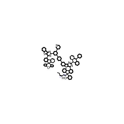 CC/C=C\C=C\C1(c2ccccc2O)c2ccccc2-c2c(-c3nc(C4c5ccccc5C(c5ccccc5)=C5C=CC=CC54)nc4c3sc3ccc(-c5ccc(-c6cc(-c7cccnc7)cc(-c7nc(-c8cccc9c8C8=C(CCC=C8)C98c9ccccc9Oc9ccccc98)c8sc9ccccc9c8n7)c6)cc5)cc34)cccc21